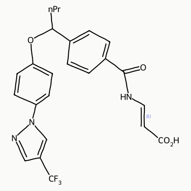 CCCC(Oc1ccc(-n2cc(C(F)(F)F)cn2)cc1)c1ccc(C(=O)N/C=C/C(=O)O)cc1